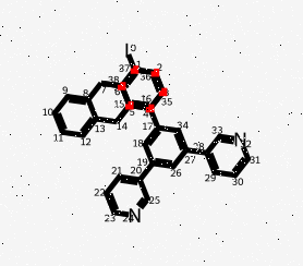 Ic1cccc2c1C1c3ccccc3C2c2c(-c3cc(-c4cccnc4)cc(-c4cccnc4)c3)cccc21